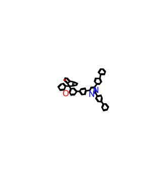 c1ccc(-c2ccc(-c3cc(-c4ccc(-c5ccc6c(c5)C5(c7ccccc7O6)c6ccccc6-c6ccccc65)cc4)nc(-c4ccc(-c5ccccc5)cc4)n3)cc2)cc1